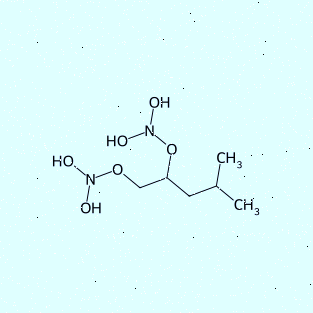 CC(C)CC(CON(O)O)ON(O)O